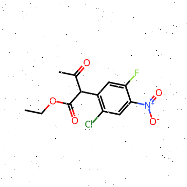 CCOC(=O)C(C(C)=O)c1cc(F)c([N+](=O)[O-])cc1Cl